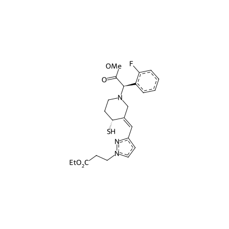 CCOC(=O)CCn1ccc(C=C2CN([C@@H](C(=O)OC)c3ccccc3F)CC[C@H]2S)n1